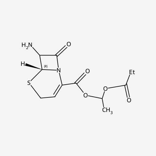 CCC(=O)OC(C)OC(=O)C1=CCS[C@@H]2C(N)C(=O)N12